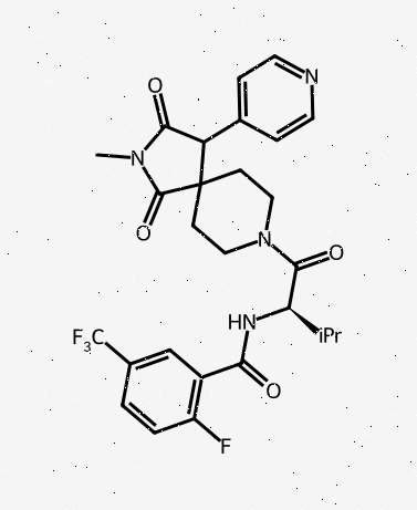 CC(C)[C@@H](NC(=O)c1cc(C(F)(F)F)ccc1F)C(=O)N1CCC2(CC1)C(=O)N(C)C(=O)C2c1ccncc1